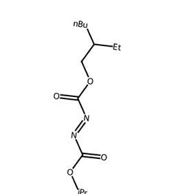 CCCCC(CC)COC(=O)/N=N/C(=O)OC(C)C